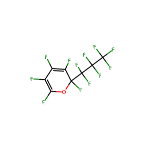 FC1=C(F)C(F)=C(F)C(F)(C(F)(F)C(F)(F)C(F)(F)F)O1